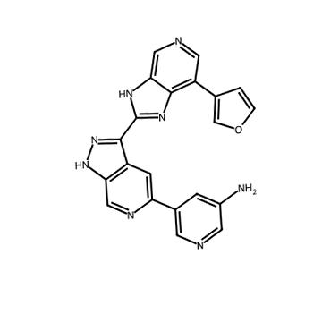 Nc1cncc(-c2cc3c(-c4nc5c(-c6ccoc6)cncc5[nH]4)n[nH]c3cn2)c1